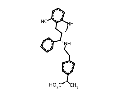 C[C@@H](C(=O)O)c1ccc(CCN[C@H](c2ccccc2)[C@H]2CNc3cccc(C#N)c3C2)cc1